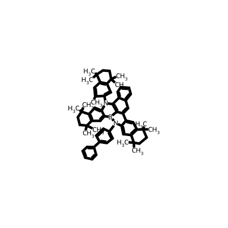 Cc1cc2c(cc1N1c3cc4c(cc3B3c5c(cc6ccccc6c51)-c1cc5c(cc1N3c1ccc(-c3ccccc3)cc1)C(C)(C)CCC5(C)C)C(C)(C)CCC4(C)C)C(C)(C)CCC2(C)C